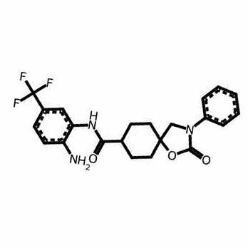 Nc1ccc(C(F)(F)F)cc1NC(=O)C1CCC2(CC1)CN(c1ccccc1)C(=O)O2